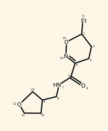 CCC1CCC(C(=O)NCC2CCOC2)=NO1